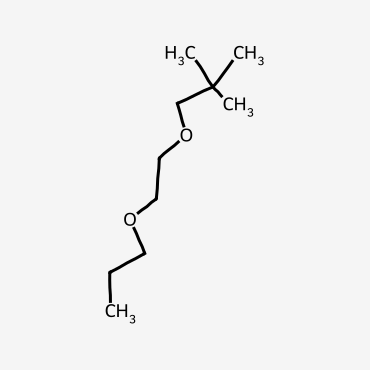 CCCOCCOCC(C)(C)C